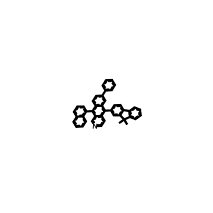 CC1(C)c2ccccc2-c2ccc(-c3c4cc(-c5ccccc5)ccc4c(-c4cccc5ccccc45)c4cnccc34)cc21